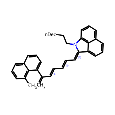 C=C(/C=C/C=C/C=c1/c2cccc3cccc(c32)n1CCCCCCCCCCCC)c1cccc2cccc(C)c12